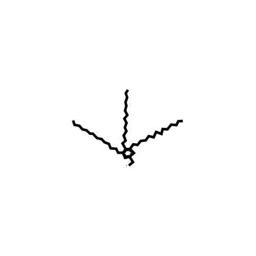 [CH2]Cc1cc(CCCCCCCCCCCCCC)c(CCCCCCCCCCCCCC)c(CCCCCCCCCCCCCC)c1